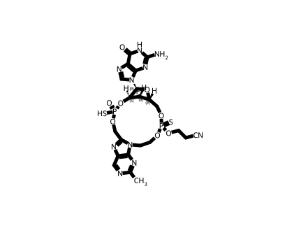 Cc1ncc2nc3n(c2n1)CCOP(=S)(OCCC#N)OC[C@H]1O[C@@H](n2cnc4c(=O)[nH]c(N)nc42)[C@H](OP(=O)(S)OC3)[C@@H]1F